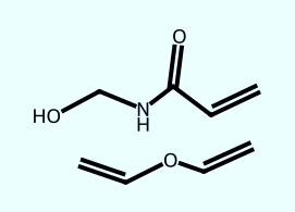 C=CC(=O)NCO.C=COC=C